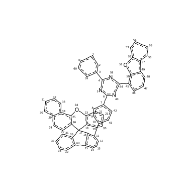 c1ccc(-c2nc(-c3ccc(-c4cccc5c4C4(c6ccccc6Oc6c4ccc4ccccc64)c4ccccc4-5)cc3)nc(-c3cccc4c3oc3ccccc34)n2)cc1